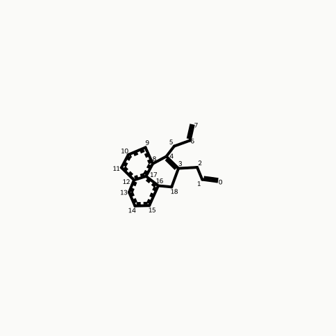 C=CCC1=C(CC=C)c2cccc3cccc(c23)C1